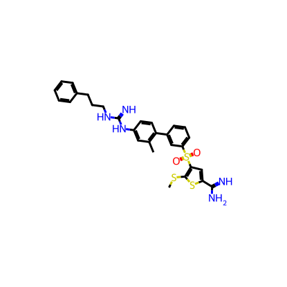 CSc1sc(C(=N)N)cc1S(=O)(=O)c1cccc(-c2ccc(NC(=N)NCCCc3ccccc3)cc2C)c1